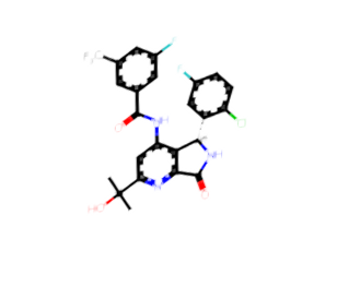 CC(C)(O)c1cc(NC(=O)c2cc(F)cc(C(F)(F)F)c2)c2c(n1)C(=O)N[C@H]2c1cc(F)ccc1Cl